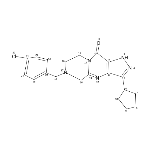 O=c1c2[nH]nc(C3CCCC3)c2nc2n1CCN(Cc1ccc(Cl)cc1)C2